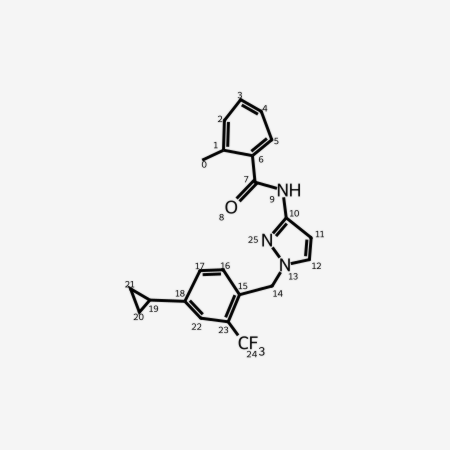 Cc1ccccc1C(=O)Nc1ccn(Cc2ccc(C3CC3)cc2C(F)(F)F)n1